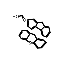 O=CO.c1ccc2c(c1)Cc1ccccc1-2.c1ccc2c(c1)Cc1ccccc1S2